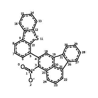 O=[N+]([O-])c1c(-c2cccc3c2sc2ccccc23)cc2c3c(cccc13)-c1ccccc1-2